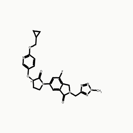 Cn1nnc(CN2Cc3c(F)cc(N4CC[C@@H](Oc5ccc(OCC6CC6)nc5)C4=O)cc3C2=O)n1